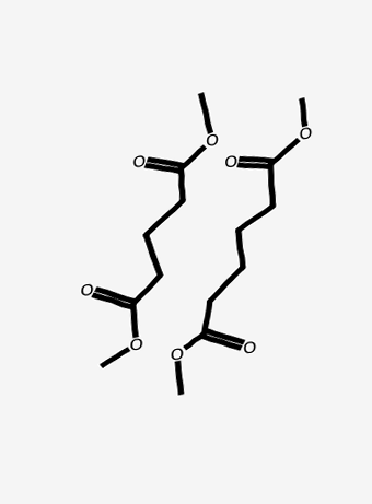 COC(=O)CCCC(=O)OC.COC(=O)CCCCC(=O)OC